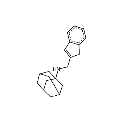 C1=C(CNC23CC4CC(CC(C4)C2)C3)Cc2ccccc21